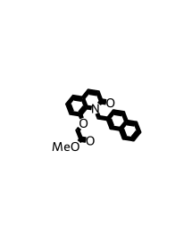 COC(=O)COc1cccc2ccc(=O)n(Cc3ccc4ccccc4c3)c12